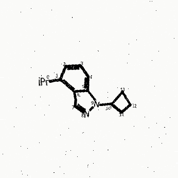 CC(C)c1cccc2c1cnn2C1CCC1